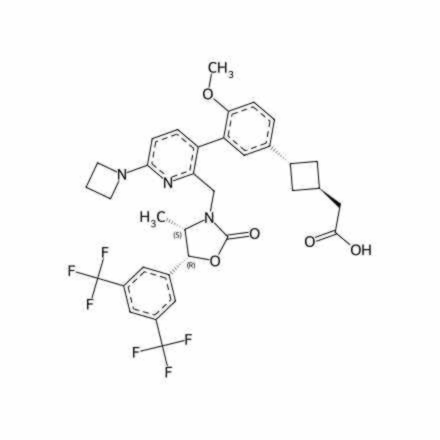 COc1ccc([C@H]2C[C@H](CC(=O)O)C2)cc1-c1ccc(N2CCC2)nc1CN1C(=O)O[C@H](c2cc(C(F)(F)F)cc(C(F)(F)F)c2)[C@@H]1C